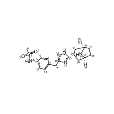 CS(=O)(=O)Nc1ccc(Cc2noc([C@@H]3C[C@H]4CC[C@@H](C3)N4)n2)cc1